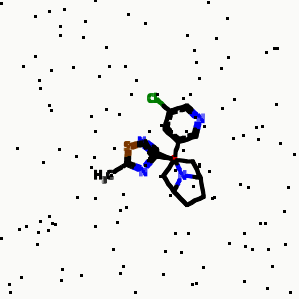 Cc1nc(CN2C3CCC2CC(C#N)(c2cncc(Cl)c2)C3)cs1